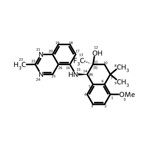 COc1cccc2c1C(C)(C)C[C@@](O)(C(F)(F)F)[C@@H]2Nc1cccc2nc(C)ncc12